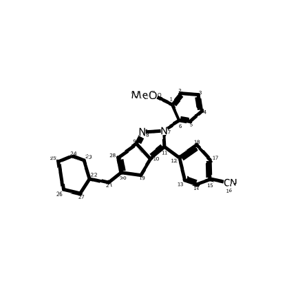 COc1ccccc1-n1nc2c(c1-c1ccc(C#N)cc1)CC(CC1CCCCC1)=C2